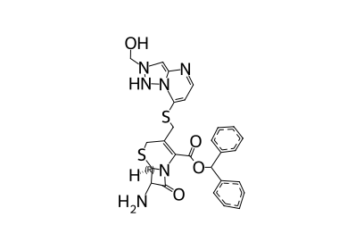 NC1C(=O)N2C(C(=O)OC(c3ccccc3)c3ccccc3)=C(CSC3=CC=NC4=CN(CO)NN43)CS[C@H]12